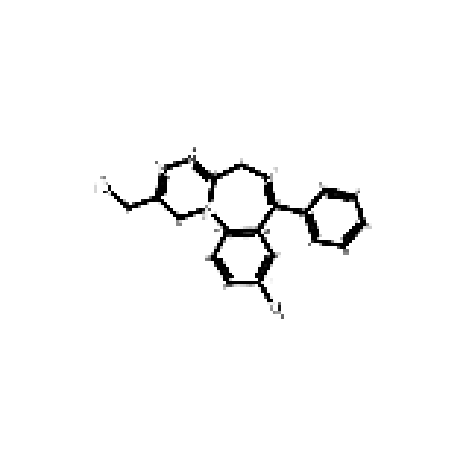 OCC1=NN=C2CN=C(c3ccccc3)c3cc(Cl)ccc3N2C1